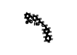 O=[N+]([O-])c1ccccc1N1CCN(CC(O)COCc2ccc(-c3ccccc3)cc2)CC1